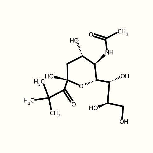 CC(=O)N[C@H]1[C@H]([C@H](O)[C@H](O)CO)O[C@](O)(C(=O)C(C)(C)C)C[C@@H]1O